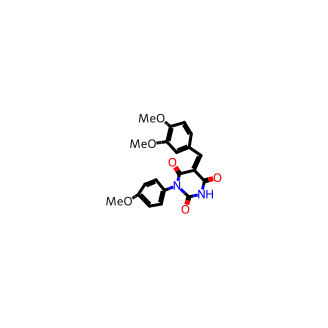 COc1ccc(N2C(=O)NC(=O)C(=Cc3ccc(OC)c(OC)c3)C2=O)cc1